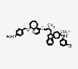 COc1ccc(COC2CCCCc3c(OC[C@H](C)CC4Cc5ccccc5C45CCC(Nc4cccc(Cl)c4)(C(=O)O)CC5)ccnc32)cc1